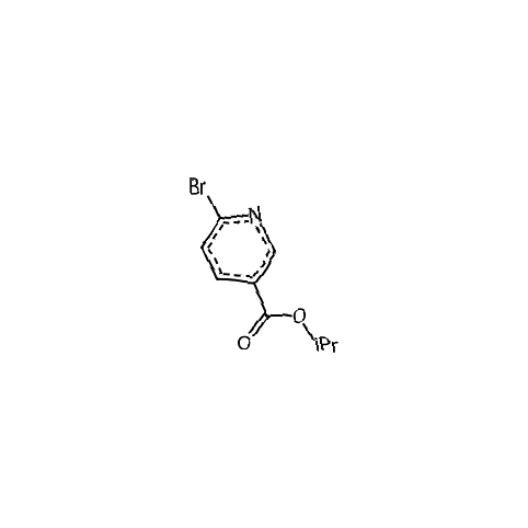 CC(C)OC(=O)c1ccc(Br)nc1